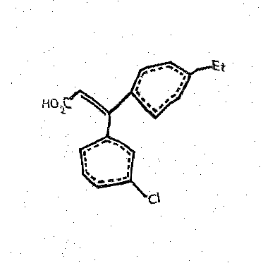 CCc1ccc(C(=CC(=O)O)c2cccc(Cl)c2)cc1